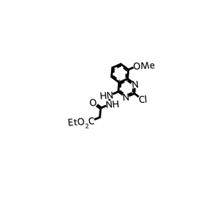 CCOC(=O)CC(=O)NNc1nc(Cl)nc2c(OC)cccc12